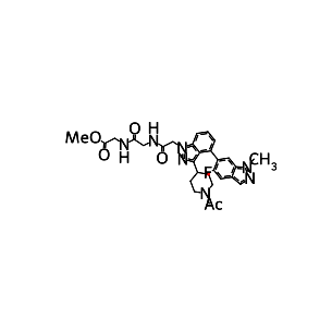 COC(=O)CNC(=O)CNC(=O)Cn1nc(C2CCN(C(C)=O)CC2)c2c(-c3cc4c(cnn4C)cc3F)cccc21